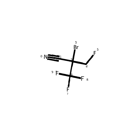 N#CC(Br)(CF)C(F)(F)F